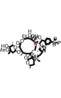 CC[C@H]1OC(=O)[C@H](C)[C@@H](O[C@H]2C[C@@](C)(OC)[C@@H](O)[C@H](C)O2)[C@H](C)[C@@H](O[C@@H]2O[C@H](C)C[C@H](N(C)CCc3cn([C@H](CF)[C@H](OC)c4ccc(S(=O)(=O)C(C)C)cc4)nn3)C2O)[C@](C)(O)C[C@@H](C)CN(C)[C@H](C)[C@@H](O)[C@]1(C)O